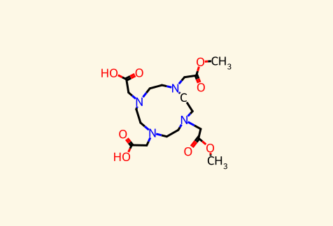 COC(=O)CN1CCN(CC(=O)O)CCN(CC(=O)O)CCN(CC(=O)OC)CC1